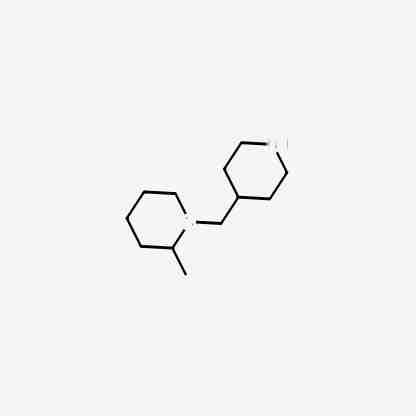 CC1CCCCN1CC1CCNCC1